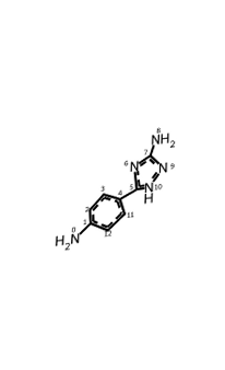 Nc1ccc(-c2nc(N)n[nH]2)cc1